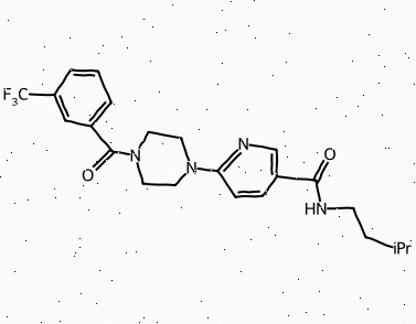 CC(C)CCNC(=O)c1ccc(N2CCN(C(=O)c3cccc(C(F)(F)F)c3)CC2)nc1